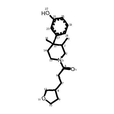 CC1CN(C(=O)CCC2CCOC2)CCC1(C)c1cccc(O)c1